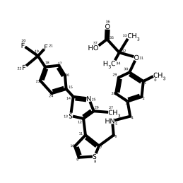 Cc1cc(CNCc2sccc2-c2sc(-c3ccc(C(F)(F)F)cc3)nc2C)ccc1OC(C)(C)C(=O)O